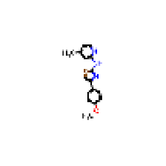 Cc1ccnc(Nc2nc(-c3ccc(OC(F)(F)F)cc3)cs2)c1